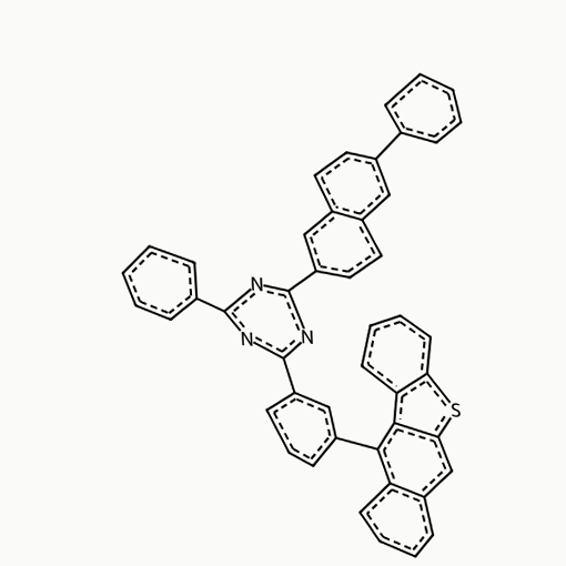 c1ccc(-c2ccc3cc(-c4nc(-c5ccccc5)nc(-c5cccc(-c6c7ccccc7cc7sc8ccccc8c67)c5)n4)ccc3c2)cc1